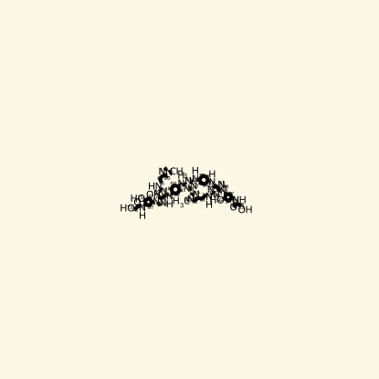 Cn1cnc(CCNc2nc(N[C@H]3CC[C@H](Nc4ncnc(N[C@H]5CC[C@H](Nc6nc(NCCc7cn(C)cn7)nc7c6ncn7[C@@H]6C[C@H](NC(=O)CO)C[C@H]6O)CC5)n4)CC3)c3ncn([C@@H]4C[C@H](NC(=O)CO)[C@@H](O)[C@H]4O)c3n2)c1